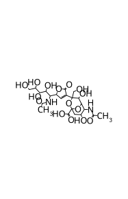 CC(=O)NC(C1C=C(C2(CO)OC3(C(=O)O)CC(O)C(NC(C)=O)C(O3)C2O)C(=O)O1)C(O)C(O)C(O)CO